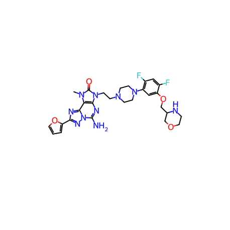 Cn1c(=O)n(CCN2CCN(c3cc(OCC4COCCN4)c(F)cc3F)CC2)c2nc(N)n3nc(-c4ccco4)nc3c21